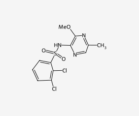 COc1nc(C)cnc1NS(=O)(=O)c1cccc(Cl)c1Cl